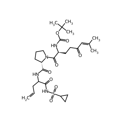 C=CCC(NC(=O)[C@@H]1CCCN1C(=O)[C@H](CCC(=O)C=C(C)C)NC(=O)OC(C)(C)C)C(=O)NS(=O)(=O)C1CC1